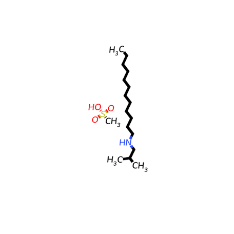 CCCCCCCCCCCCNCC(C)C.CS(=O)(=O)O